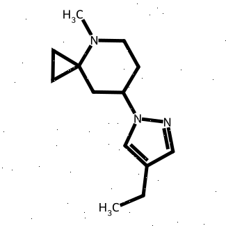 CCc1cnn(C2CCN(C)C3(CC3)C2)c1